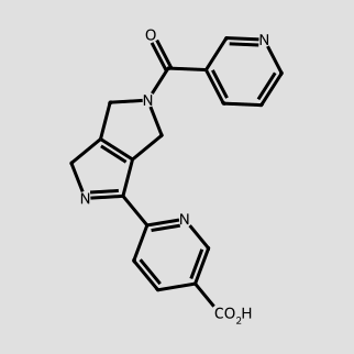 O=C(O)c1ccc(C2=NCC3=C2CN(C(=O)c2cccnc2)C3)nc1